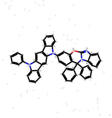 c1ccc(-n2c3ccccc3c3cc4c(cc32)c2ccccc2n4-c2ccc3c(c2)Oc2nc4ccccc4n2C3(c2ccccc2)c2ccccc2)cc1